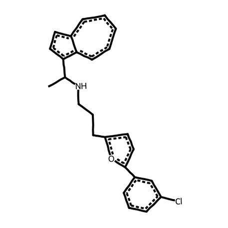 CC(NCCCc1ccc(-c2cccc(Cl)c2)o1)c1ccc2cccccc1-2